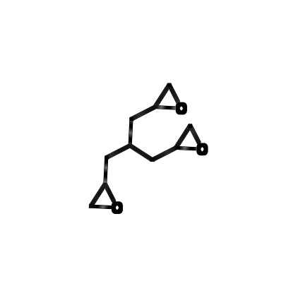 C1OC1CC(CC1CO1)CC1CO1